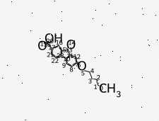 CCCCCCOc1ccc2c(c1)C(=O)c1cc(C(=O)O)ccc1-2